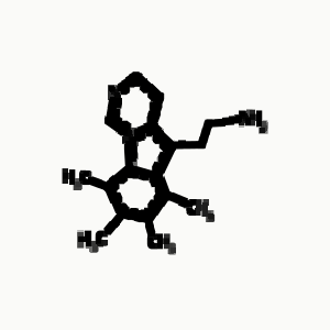 Cc1c(C)c(C)c2c(c1C)c(CCN)c1ccncn12